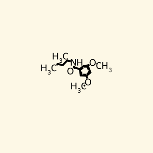 CCCC(C)NC(=O)c1cc(OC)cc(OC)c1